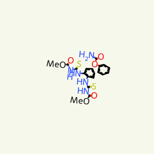 COC(=O)NC(=S)Nc1ccccc1NC(=S)NC(=O)OC.NC(=O)Oc1ccccc1